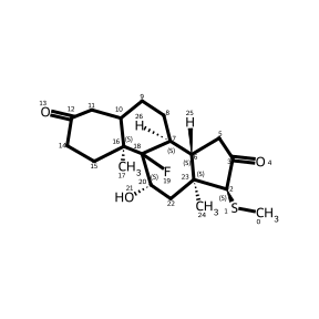 CS[C@@H]1C(=O)C[C@H]2[C@@H]3CCC4CC(=O)CC[C@]4(C)C3(F)[C@@H](O)C[C@]12C